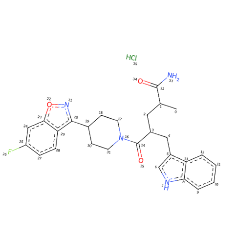 CC(CC(Cc1c[nH]c2ccccc12)C(=O)N1CCC(c2noc3cc(F)ccc23)CC1)C(N)=O.Cl